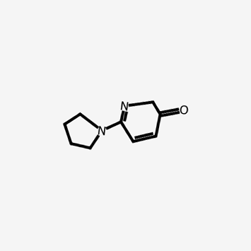 O=C1C=CC(N2CCCC2)=NC1